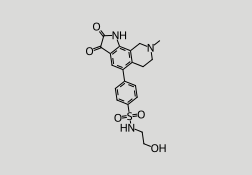 CN1CCc2c(-c3ccc(S(=O)(=O)NCCO)cc3)cc3c(c2C1)NC(=O)C3=O